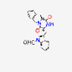 C[C@H]1C(=O)N[C@H](Cc2cn(C=O)c3ccccc23)C(=O)N1Cc1ccccc1